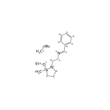 CCCCC.CCO[Si]1(C)CCCN1CCN=Cc1ccccc1